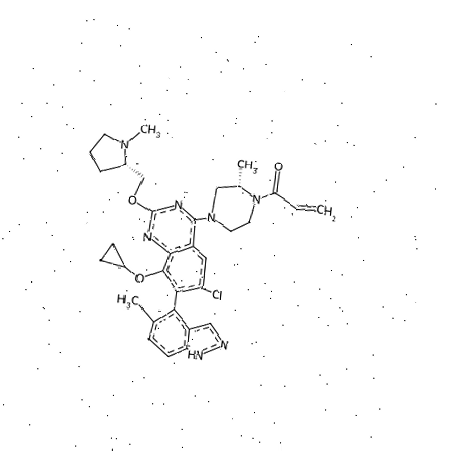 C=CC(=O)N1CCN(c2nc(OC[C@@H]3CCCN3C)nc3c(OC4CC4)c(-c4c(C)ccc5[nH]ncc45)c(Cl)cc23)C[C@@H]1C